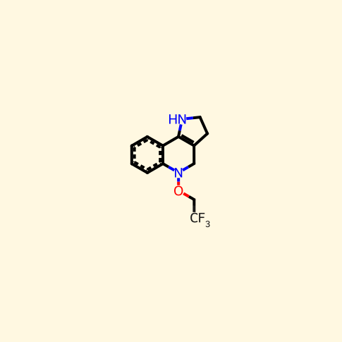 FC(F)(F)CON1CC2=C(NCC2)c2ccccc21